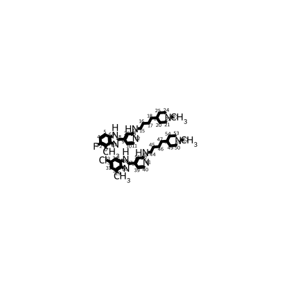 Cc1c(F)ccc2[nH]c(-c3ccnc(NCCCCC4CCN(C)CC4)c3)nc12.Cc1cc(Cl)cc2[nH]c(-c3ccnc(NCCCCC4CCN(C)CC4)c3)nc12